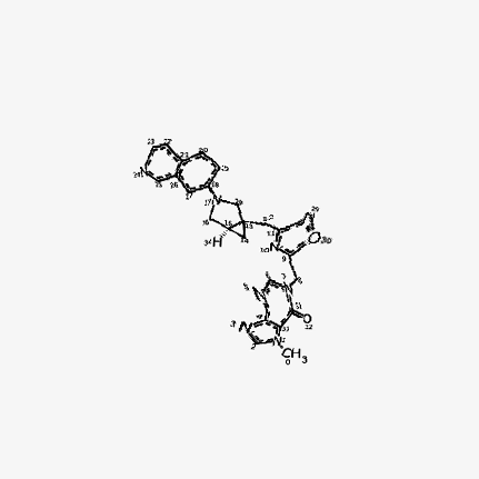 Cn1cnc2ncn(Cc3nc(C[C@@]45C[C@H]4CN(c4ccc6ccncc6c4)C5)no3)c(=O)c21